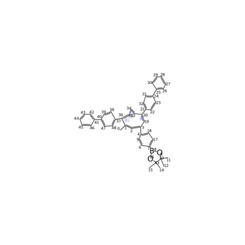 CC1=C=C(c2ccc(B3OC(C)(C)C(C)(C)O3)cc2)\C=C(c2ccc(-c3ccccc3)cc2)/C=C/C=C/1c1ccc(-c2ccccc2)cc1